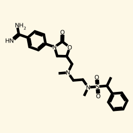 CC(c1ccccc1)S(=O)(=O)N(C)CCN(C)CC1CN(c2ccc(C(=N)N)cc2)C(=O)O1